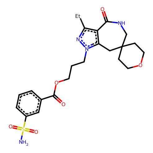 CCc1nn(CCCOC(=O)c2cccc(S(N)(=O)=O)c2)c2c1C(=O)NCC1(CCOCC1)C2